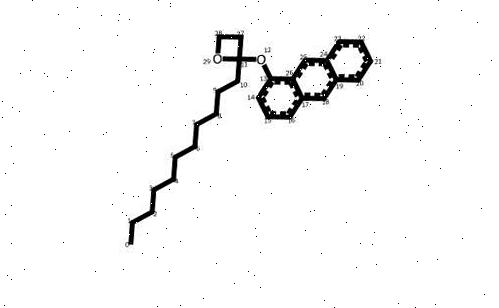 CCCCCCCCCCCC1(Oc2cccc3cc4ccccc4cc23)CCO1